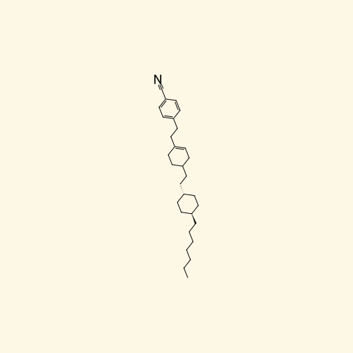 CCCCCCC[C@H]1CC[C@H](CCC2CC=C(CCc3ccc(C#N)cc3)CC2)CC1